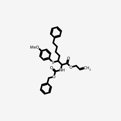 C=CCOC(=O)C(NC(=O)OCc1ccccc1)C(CCCCc1ccccc1)Sc1ccc(OC)cc1